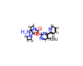 CC(C)(C)c1cnc(OC(=O)N2CCC2(N)C(=O)N2CCC2)nc1-c1ccccn1